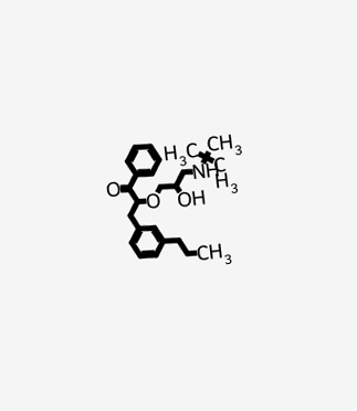 CCCc1cccc(CC(OCC(O)CNC(C)(C)C)C(=O)c2ccccc2)c1